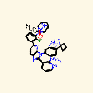 CC(=O)N1C2CC1CN(c1cccc(-c3ccc4nc(-c5cccnc5N)n(-c5ccc(C6(N)CCC6)cc5)c4n3)c1F)C2